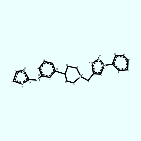 c1ccc(-n2cc(CN3CCC(c4cccc(Nc5nccs5)c4)CC3)nn2)cc1